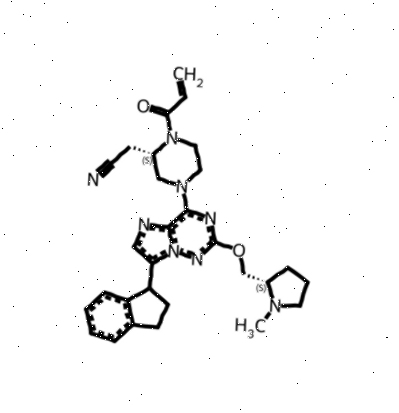 C=CC(=O)N1CCN(c2nc(OC[C@@H]3CCCN3C)nn3c(C4CCc5ccccc54)cnc23)C[C@@H]1CC#N